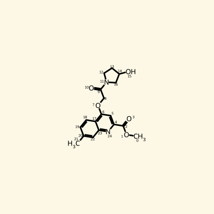 COC(=O)c1cc(OCC(=O)N2CCC(O)C2)c2ccc(C)cc2n1